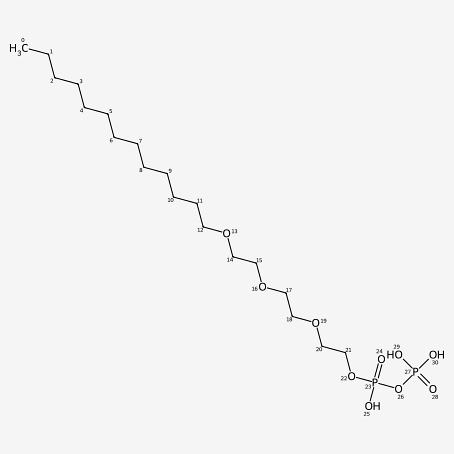 CCCCCCCCCCCCCOCCOCCOCCOP(=O)(O)OP(=O)(O)O